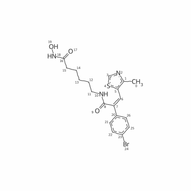 Cc1ncsc1C=C(C(=O)NCCCCCC(=O)NO)c1ccc(Br)cc1